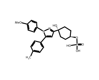 COc1ccc(-n2nc([C@]3(O)CC[C@H](OP(=O)(O)O)CC3)cc2-c2ccc(C)cc2)cc1